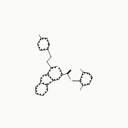 Cc1cccc(C)c1NC(=O)c1cc2c([nH]c3ccccc32)c(CCc2ccc(C#N)cc2)n1